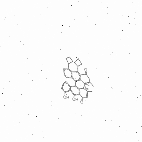 CC(=O)C1C(C)=CC(=O)c2c1c(-c1c3c(c(C4CCC4)c4c(C5CCC5)cccc14)C(=O)CC(C)C3C(C)=O)c1cccc(O)c1c2O